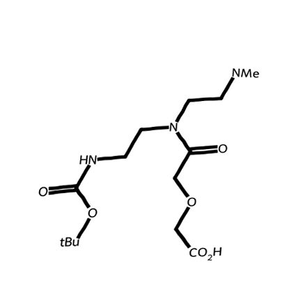 CNCCN(CCNC(=O)OC(C)(C)C)C(=O)COCC(=O)O